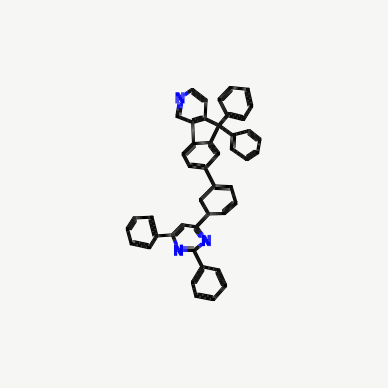 C1=CC(c2cc(-c3ccccc3)nc(-c3ccccc3)n2)CC(c2ccc3c(c2)C(c2ccccc2)(c2ccccc2)c2ccncc2-3)=C1